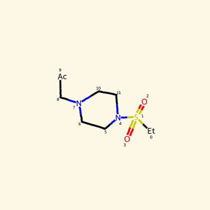 CCS(=O)(=O)N1CCN(CC(C)=O)CC1